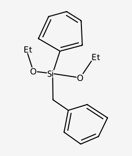 CCO[Si](Cc1ccccc1)(OCC)c1ccccc1